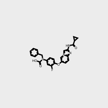 O=C(Nc1cn2cc(Oc3ccc(N(Cc4ccccc4)C(=O)O)cc3F)ccc2n1)C1CC1